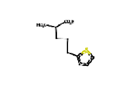 O=C(O)C(CCCc1cccs1)C(=O)O